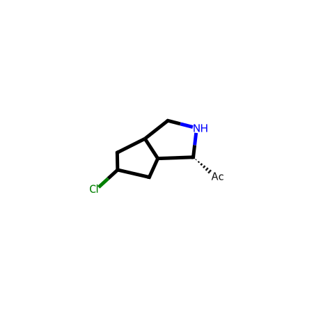 CC(=O)[C@H]1NCC2CC(Cl)CC21